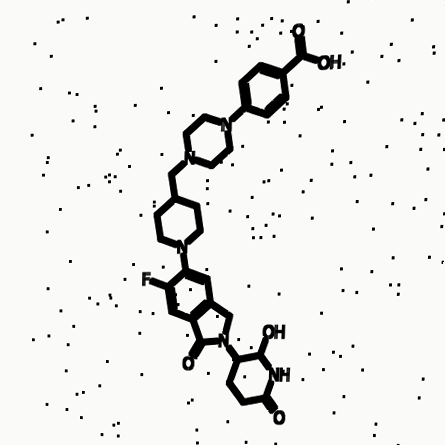 O=C1CCC(N2Cc3cc(N4CCC(CN5CCN(c6ccc(C(=O)O)cc6)CC5)CC4)c(F)cc3C2=O)C(O)N1